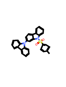 Cc1ccc(S(=O)(=O)n2c3ccccc3c3ccc(-n4c5ccccc5c5ccccc54)cc32)cc1